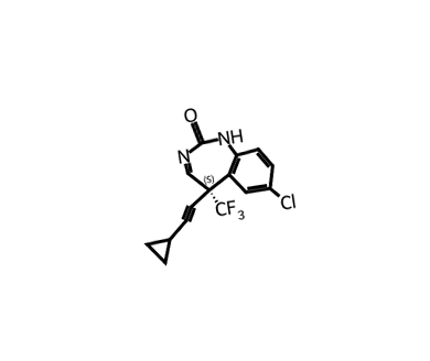 O=C1N=C[C@@](C#CC2CC2)(C(F)(F)F)c2cc(Cl)ccc2N1